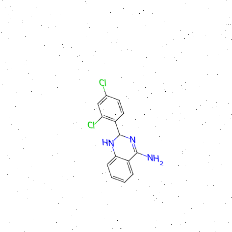 NC1=NC(c2ccc(Cl)cc2Cl)Nc2ccccc21